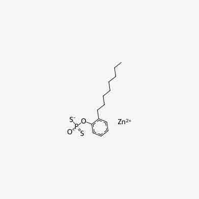 CCCCCCCCc1ccccc1OP([O-])(=S)[S-].[Zn+2]